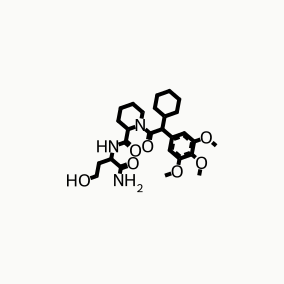 COc1cc(C(C(=O)N2CCCCC2C(=O)NC(CCO)C(N)=O)C2CCCCC2)cc(OC)c1OC